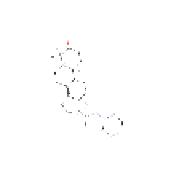 C[C@H](CN1CCSCC1)[C@H]1CCC2=C3CC[C@H]4C(C)(C)[C@@H](O)CC[C@]4(C)[C@H]3CC[C@@]21C